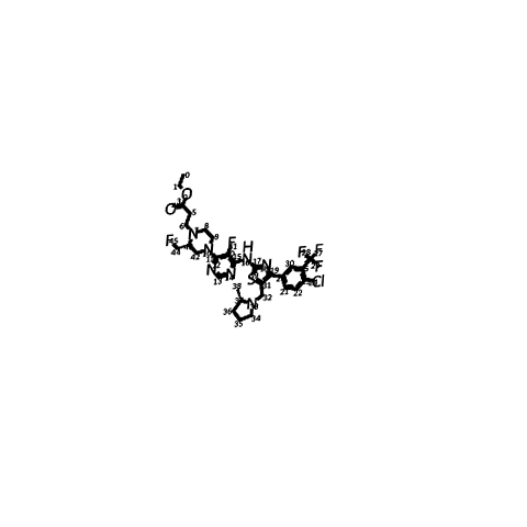 CCOC(=O)CCN1CCN(c2ncnc(Nc3nc(-c4ccc(Cl)c(C(F)(F)F)c4)c(CN4CCC[C@H]4C)s3)c2F)C[C@H]1CF